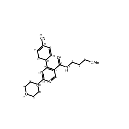 COCCCNC(=O)c1cnc(N2CCOCC2)nc1C1C=CC(C#N)=CC1